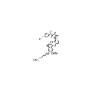 COc1cc2c(Oc3cccc(NC(=O)C4(C(=O)Nc5ccc(F)cc5)CC4)c3Cl)ccnc2cc1OCCCCCC(=O)[O-].[K+]